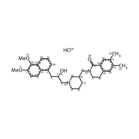 COc1ccc2c(CC(O)CN3CCCC(CN4CCc5cc(C)c(C)cc5C4=O)C3)cccc2c1OC.Cl